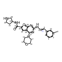 Cc1cccc(/C=N/Nc2nc(N3CCOCC3)c3cc(C(=O)NC4CCNC4)oc3n2)c1